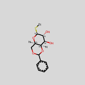 CCS[C@@H]1O[C@@H]2COC(c3ccccc3)O[C@@H]2[C@H](O)[C@H]1O